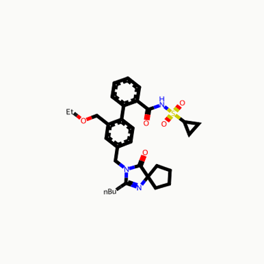 CCCCC1=NC2(CCCC2)C(=O)N1Cc1ccc(-c2ccccc2C(=O)NS(=O)(=O)C2CC2)c(COCC)c1